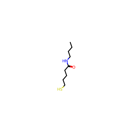 CCCCNC(=O)CCCCS